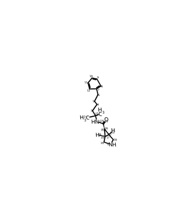 CC(C)(CCCCc1ccccc1)NC(=O)[C@H]1[C@@H]2CNC[C@@H]21